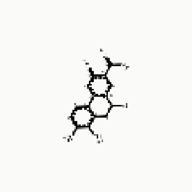 CCC1Cc2c(ccc(C)c2C)-c2cc(=O)c(C(=O)N=O)cn21